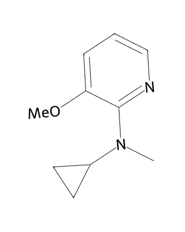 COc1cccnc1N(C)C1CC1